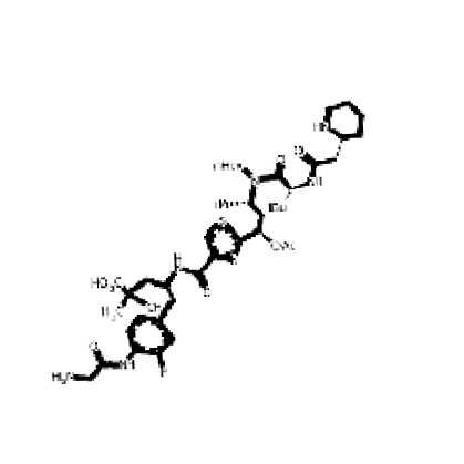 CCCCCCN(C(=O)[C@@H](NC(=O)C[C@H]1CCCCN1)[C@@H](C)CC)[C@H](C[C@@H](OC(C)=O)c1nc(C(=O)N[C@@H](Cc2ccc(NC(=O)CN)c(F)c2)CC(C)(C)C(=O)O)cs1)C(C)C